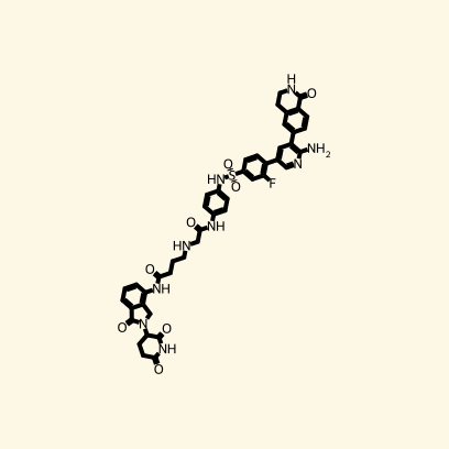 Nc1ncc(-c2ccc(S(=O)(=O)Nc3ccc(NC(=O)CNCCCC(=O)Nc4cccc5c4CN(C4CCC(=O)NC4=O)C5=O)cc3)cc2F)cc1-c1ccc2c(c1)CCNC2=O